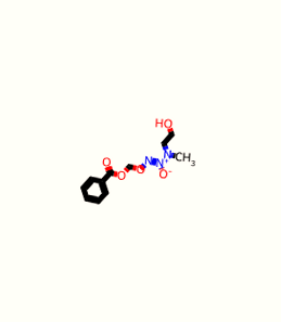 CN(CCO)[N+]([O-])=NOCOC(=O)c1ccccc1